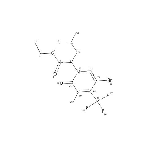 CCOC(=O)C(CC(C)C)n1cc(Br)c(C(F)(F)F)c(C)c1=O